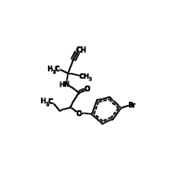 C#CC(C)(C)NC(=O)C(CC)Oc1ccc(Br)cc1